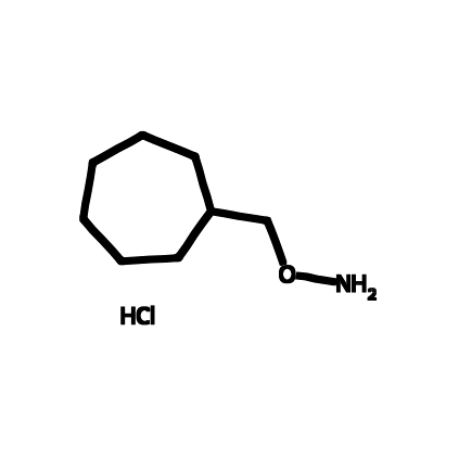 Cl.NOCC1CCCCCC1